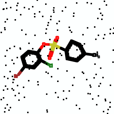 Cc1ccc(S(=O)(=O)Oc2ccc(Br)cc2Cl)cc1